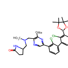 COc1nc(-c2cccc(-c3cccc(B4OC(C)(C)C(C)(C)O4)c3Cl)c2Cl)cnc1CN(CC1CCC(=O)N1)C(=O)O